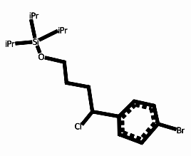 CC(C)[Si](OCCCC(Cl)c1ccc(Br)cc1)(C(C)C)C(C)C